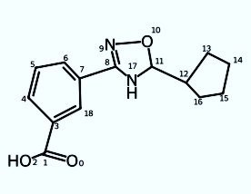 O=C(O)c1cccc(C2=NOC(C3CCCC3)N2)c1